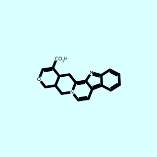 O=C(O)C1=COCC2Cn3ccc4c5ccccc5nc-4c3CC12